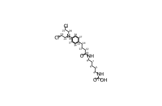 O=C(O)NCCCCCNC(=O)CCCc1ccc(N(CCCl)CCCl)cc1